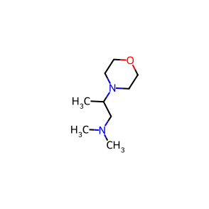 CC(CN(C)C)N1CCOCC1